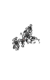 CSc1ccc2c(c1)c1cc(SC)cc3c1n2-c1cc(-c2cccc(-c4nc(-c5ccccc5)nc(-c5ccccc5)n4)c2)c(C)c2c1B3n1c3ccc(-c4c(C)cc(-c5ccc(-c6cc7c8c(c6C)-c6cc9c%10ccccc%10oc9c9c%10ccccc%10n(c69)B8c6cc(SC)cc8c9cc(SC)ccc9n-7c68)cc5-c5nc(-c6ccccc6)nc(-c6ccccc6)n5)cc4C)cc3c3cc(-c4c(C)cccc4C)cc-2c31